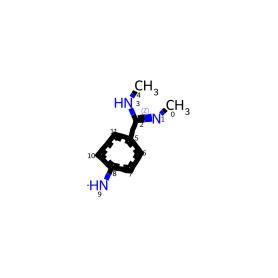 C/N=C(\NC)c1ccc([NH])cc1